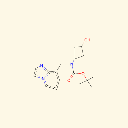 CC(C)(C)OC(=O)N(Cc1cccn2ccnc12)[C@H]1C[C@@H](O)C1